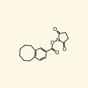 O=C(ON1C(=O)CCC1=O)c1ccc2c(c1)CCCCCC2